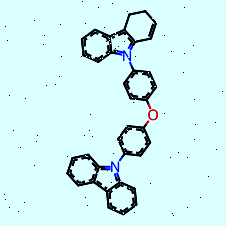 C1=Cc2c(c3ccccc3n2-c2ccc(Oc3ccc(-n4c5ccccc5c5ccccc54)cc3)cc2)CC1